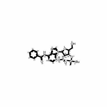 CC(C)(C)[Si](C)(C)O[C@@H]1C(CO)OC(n2cnc3c(NC(=O)c4ccccc4)ncnc32)[C@@H]1[PH](=O)O